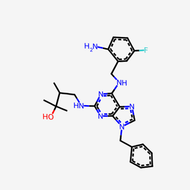 CC(CNc1nc(NCc2cc(F)ccc2N)c2ncn(Cc3ccccc3)c2n1)C(C)(C)O